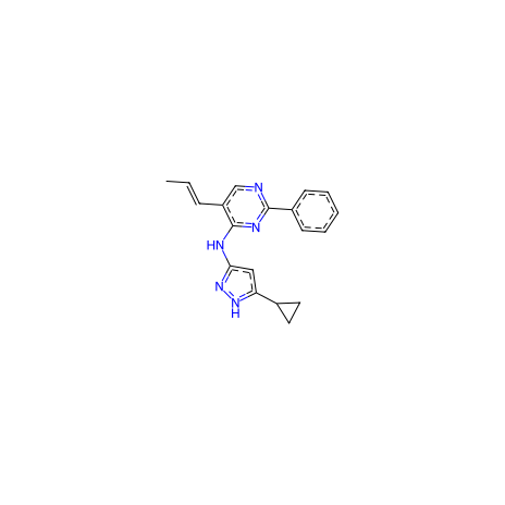 CC=Cc1cnc(-c2ccccc2)nc1Nc1cc(C2CC2)[nH]n1